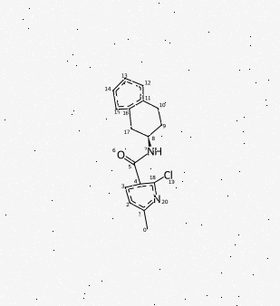 Cc1ccc(C(=O)N[C@@H]2CCc3ccccc3C2)c(Cl)n1